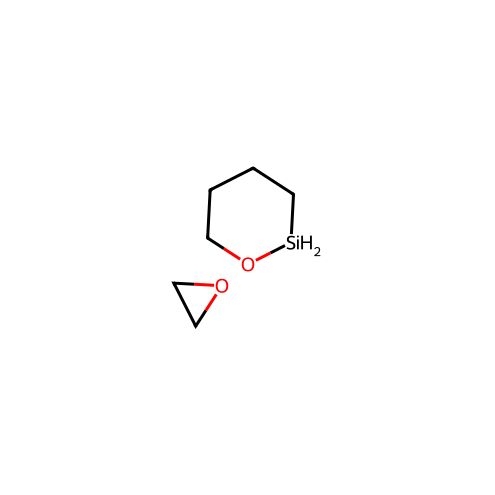 C1CC[SiH2]OC1.C1CO1